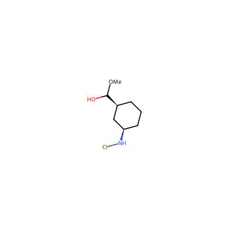 COC(O)[C@H]1CCC[C@@H](NCl)C1